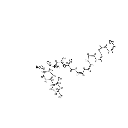 CC/C=C\C/C=C\C/C=C\C/C=C\C/C=C\C/C=C\CCC(=O)OC(C)CNC(=O)c1cc(-c2ccc(F)cc2F)ccc1OC(C)=O